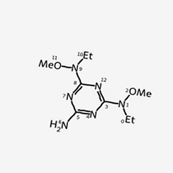 CCN(OC)c1nc(N)nc(N(CC)OC)n1